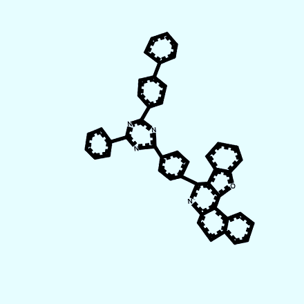 c1ccc(-c2ccc(-c3nc(-c4ccccc4)nc(-c4ccc(-c5nc6ccc7ccccc7c6c6oc7ccccc7c56)cc4)n3)cc2)cc1